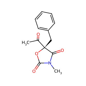 CC(=O)[C@@]1(Cc2ccccc2)OC(=O)N(C)C1=O